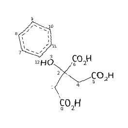 O=C(O)CC(O)(CC(=O)O)C(=O)O.c1ccccc1